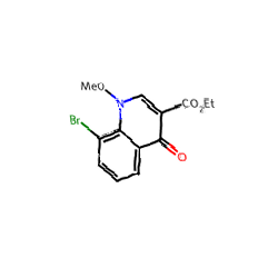 CCOC(=O)c1cn(OC)c2c(Br)cccc2c1=O